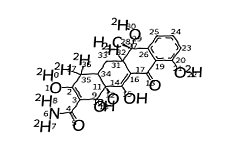 [2H]OC1=C(C(=O)N([2H])[2H])C(=O)[C@@]2(O[2H])C(O)=C3C(=O)c4c(O[2H])cccc4[C@@](C)(O[2H])C3([2H])CC2C1([2H])[2H]